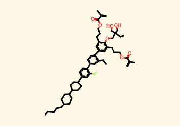 C=C(C)C(=O)OCCCc1cc(-c2ccc(-c3ccc(C4CCC(C5CCC(CCCCC)CC5)CC4)cc3F)cc2CC)cc(CCCOC(=O)C(=C)C)c1OCC(CC)(CO)CO